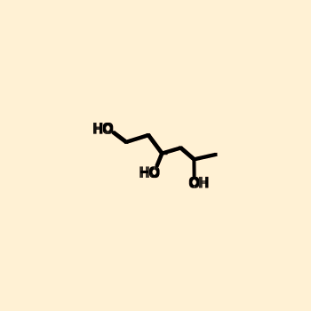 CC(O)C[C](O)CCO